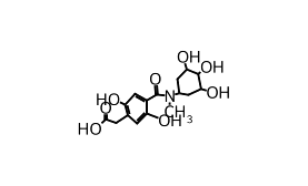 CN(C(=O)c1cc(O)c(CC(=O)O)cc1O)C1CC(O)C(O)C(O)C1